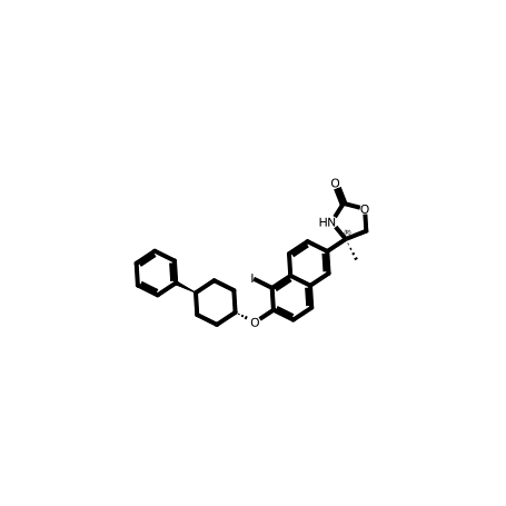 C[C@@]1(c2ccc3c(I)c(O[C@H]4CC[C@H](c5ccccc5)CC4)ccc3c2)COC(=O)N1